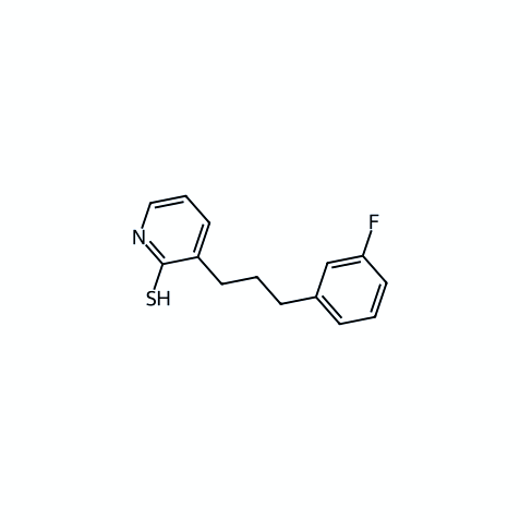 Fc1cccc(CCCc2cccnc2S)c1